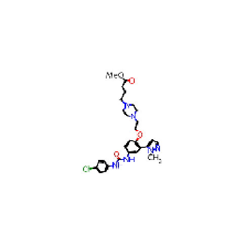 COC(=O)CCCN1CCN(CCOc2ccc(NC(=O)Nc3ccc(Cl)cc3)cc2-c2ccnn2C)CC1